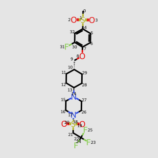 CS(=O)(=O)c1ccc(OC[C@H]2CC[C@H](N3CCN(S(=O)(=O)CC(F)(F)F)CC3)CC2)c(F)c1